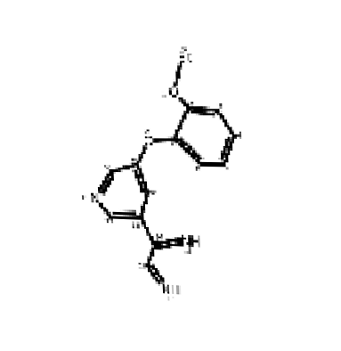 CCOc1ccccc1Oc1cncc(C(=N)C=N)c1